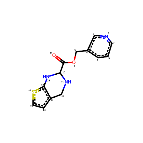 O=C(OCc1cccnc1)C1NCc2ccsc2N1